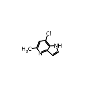 Cc1cc(Cl)c2[nH]ccc2n1